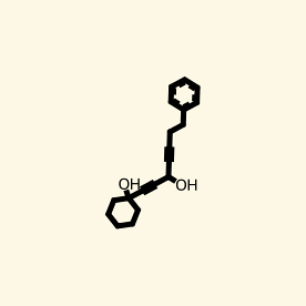 OC(C#CCCc1ccccc1)C#CC1(O)CCCCC1